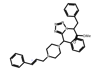 COC(=O)C(Cc1ccccc1)n1nnnc1C(c1ccccc1)N1CCN(C/C=C/c2ccccc2)CC1